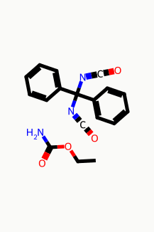 CCOC(N)=O.O=C=NC(N=C=O)(c1ccccc1)c1ccccc1